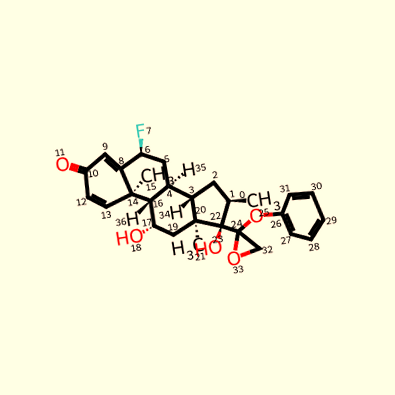 C[C@@H]1C[C@H]2[C@@H]3C[C@H](F)C4=CC(=O)C=C[C@]4(C)[C@H]3[C@@H](O)C[C@]2(C)[C@@]1(O)C1(Oc2ccccc2)CO1